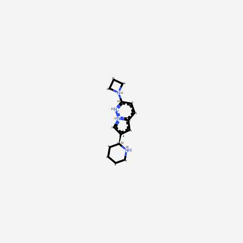 c1cc2cc([C@@H]3CCCCN3)cn2nc1N1CCC1